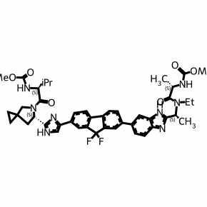 CCN(C(=O)[C@H](C)NC(=O)OC)[C@@H](C)c1nc2ccc(-c3ccc4c(c3)C(F)(F)c3cc(-c5c[nH]c([C@@H]6CC7(CC7)CN6C(=O)[C@@H](NC(=O)OC)C(C)C)n5)ccc3-4)cc2[nH]1